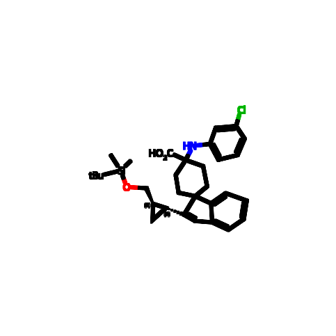 CC(C)(C)[Si](C)(C)OC[C@@H]1C[C@H]1C1=Cc2ccccc2C12CCC(Nc1cccc(Cl)c1)(C(=O)O)CC2